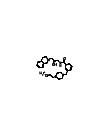 COCCN1CCN(Cc2cccc(C(=O)NCC(O)CN3CCc4ccccc4C3)c2)CC1